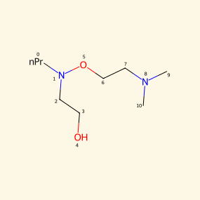 CCCN(CCO)OCCN(C)C